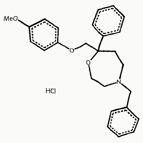 COc1ccc(OCC2(c3ccccc3)CCN(Cc3ccccc3)CCO2)cc1.Cl